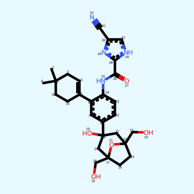 CC1(C)CC=C(c2cc(C3(O)CC4(CO)CCC(CO)(C3)O4)ccc2NC(=O)c2nc(C#N)c[nH]2)CC1